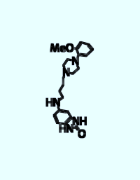 COc1ccccc1N1CCN(CCCCNc2ccc3[nH]c(=O)[nH]c3c2)CC1